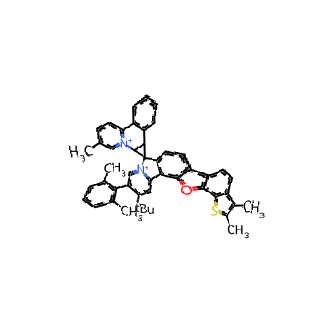 Cc1ccc2[n+](c1)C1C(c3ccccc3-2)C12c1ccc3c(oc4c3ccc3c(C)c(C)sc34)c1-c1cc(C(C)(C)C)c(-c3c(C)cccc3C)c[n+]12